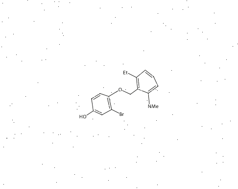 CCc1cccc(NC)c1COc1ccc(O)cc1Br